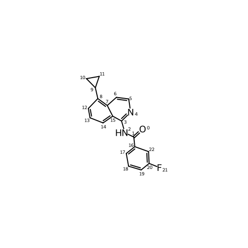 O=C(Nc1nccc2c(C3CC3)cccc12)c1cccc(F)c1